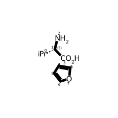 CC(C)[C@H](N)C(=O)O.c1ccoc1